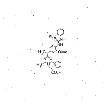 COc1cc(C(C)C(=O)NC(C)N(CCC(=O)O)Cc2ccccc2)ccc1NC(=O)Nc1ccccc1C